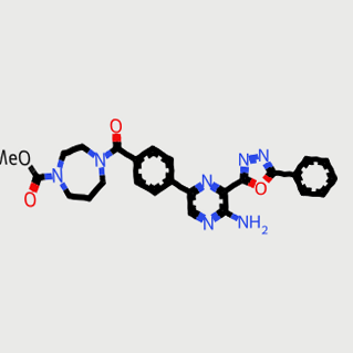 COC(=O)N1CCCN(C(=O)c2ccc(-c3cnc(N)c(-c4nnc(-c5ccccc5)o4)n3)cc2)CC1